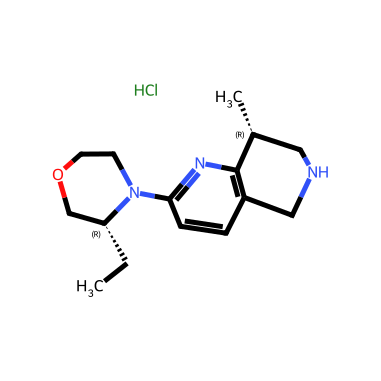 CC[C@@H]1COCCN1c1ccc2c(n1)[C@H](C)CNC2.Cl